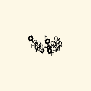 CC(=O)O[C@@H]1[C@@H](OC(C)=O)[C@H](OC(C)=O)CO[C@H]1n1c(-c2ccc(F)cc2)c(C[C@@H]2CCCN2C(=O)[C@@H](NC(=O)OCc2ccccc2)C(C)(C)C)c2ccc(F)cc21